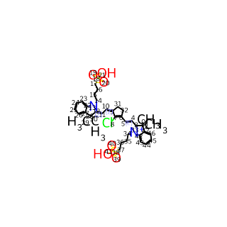 CC1(C)C(/C=C/C2=C(Cl)C(=C\C=C3/N(CCCCS(=O)(=O)O)c4ccccc4C3(C)C)/CC2)=[N+](CCCCS(=O)(=O)O)c2ccccc21